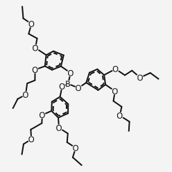 CCOCCOc1ccc(OB(Oc2ccc(OCCOCC)c(OCCOCC)c2)Oc2ccc(OCCOCC)c(OCCOCC)c2)cc1OCCOCC